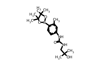 Cc1cc(NC(=O)NCC(C)(C)O)ccc1B1OC(C)(C)C(C)(C)O1